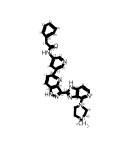 CN1CCN(c2nccc3[nH]c(-c4n[nH]c5ccc(-c6cncc(NC(=O)Cc7ccccc7)c6)nc45)nc23)CC1